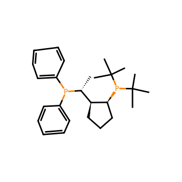 C[C@H]([C@@H]1CCC[C@@H]1P(C(C)(C)C)C(C)(C)C)P(c1ccccc1)c1ccccc1